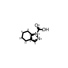 O=C(O)n1ncc2c1CCCC2